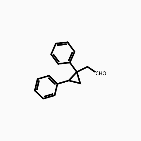 O=CCC1(c2ccccc2)CC1c1ccccc1